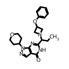 CCC(c1nc2c(cnn2C2CCOCC2)c(=O)[nH]1)N1CC(Oc2ccccc2)C1